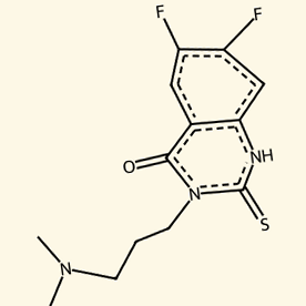 CN(C)CCCn1c(=S)[nH]c2cc(F)c(F)cc2c1=O